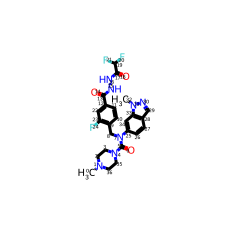 CN1CCN(C(=O)N(Cc2ccc(C(=O)NNC(=O)C(F)F)cc2F)c2ccc3cnn(C)c3c2)CC1